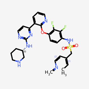 C=N/C=C\C(=C/C)CS(=O)(=O)Nc1ccc(Oc2ncccc2-c2ccnc(N[C@H]3CCCNC3)n2)c(F)c1F